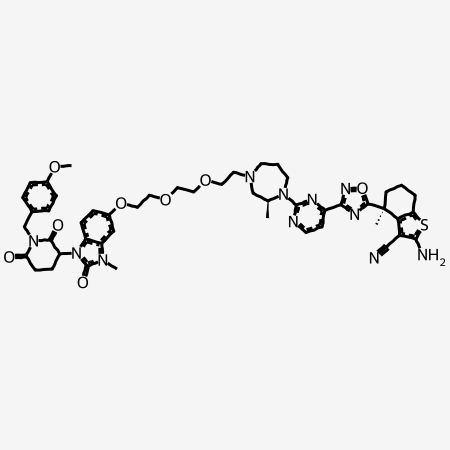 COc1ccc(CN2C(=O)CCC(n3c(=O)n(C)c4cc(OCCOCCOCCN5CCCN(c6nccc(-c7noc([C@@]8(C)CCCc9sc(N)c(C#N)c98)n7)n6)[C@@H](C)C5)ccc43)C2=O)cc1